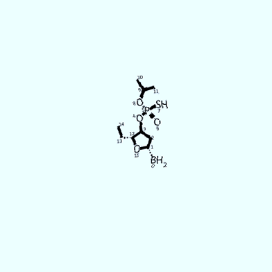 B[C@H]1CC(OP(=O)(S)OC(C)C)[C@@H](CC)O1